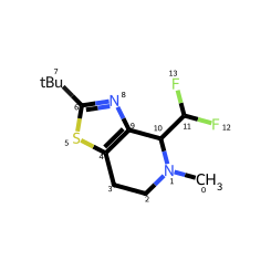 CN1CCc2sc(C(C)(C)C)nc2C1C(F)F